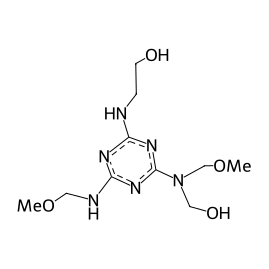 COCNc1nc(NCCO)nc(N(CO)COC)n1